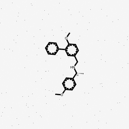 COc1ccc([C@@H](C)NCc2ccc(OC)c(-c3ccccc3)c2)cc1